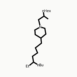 CCCCCCC(C)CN1CCC(CCCCC(CC)CCCC)CC1